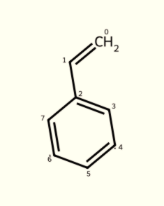 C=Cc1c[c]c[c]c1